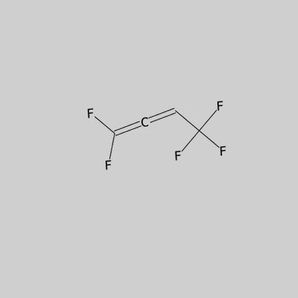 FC(F)=C=CC(F)(F)F